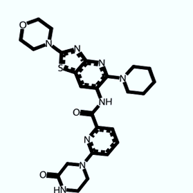 O=C1CN(c2cccc(C(=O)Nc3cc4sc(N5CCOCC5)nc4nc3N3CCCCC3)n2)CCN1